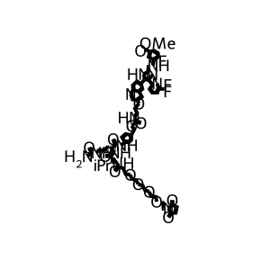 COC(=O)c1ccc(F)c(NCc2nc(-c3cccc(C(F)F)n3)c(-c3ccc4ncc(OCCNC(=O)OCc5ccc(NC(=O)[C@H](CCCNC(N)=O)NC(=O)C(NC(=O)CCOCCOCCOCCOCCN6C(=O)C=CC6=O)C(C)C)cc5)cc4c3)[nH]2)c1